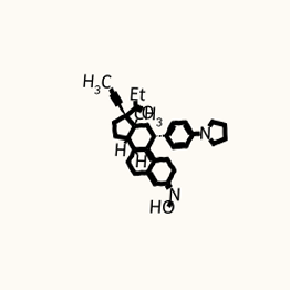 CC#C[C@]1(C(=O)CC)CC[C@H]2[C@@H]3CCC4=CC(=NO)CCC4=C3[C@@H](c3ccc(N4CCCC4)cc3)C[C@@]21C